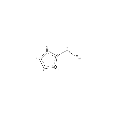 FCc1ncco1